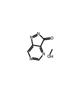 CO.O=C1N=Nc2cncnc21